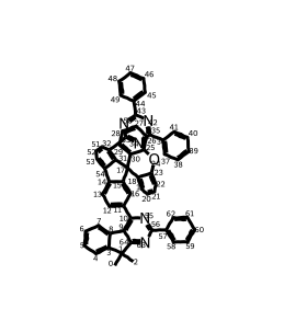 CC1(C)c2ccccc2-c2c(-c3ccc4c(c3)C3(c5ccccc5Oc5ccccc53)c3c(-c5nc(-c6ccccc6)nc(-c6ccccc6)n5)cccc3-4)nc(-c3ccccc3)nc21